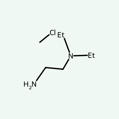 CCN(CC)CCN.CCl